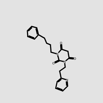 O=C1CC(=O)N(CCc2ccccn2)C(=O)N1CCCCc1ccccc1